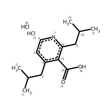 CC(C)Cc1ccnc(CC(C)C)c1C(=O)O.Cl.Cl